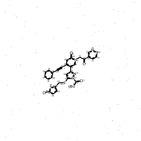 CC(C)(C)C(=O)n1nc(-c2cn(CC(=O)c3ccnnc3)c(=O)cc2C#Cc2ccccc2)cc1SCc1ccc(Cl)s1